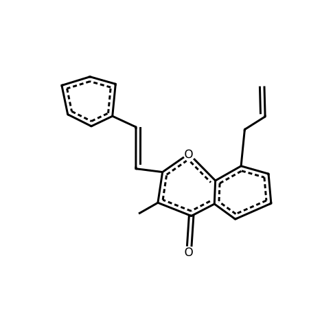 C=CCc1cccc2c(=O)c(C)c(/C=C/c3ccccc3)oc12